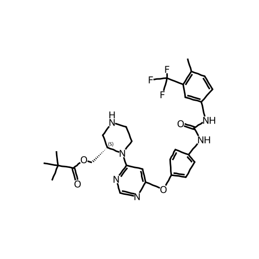 Cc1ccc(NC(=O)Nc2ccc(Oc3cc(N4CCNC[C@H]4COC(=O)C(C)(C)C)ncn3)cc2)cc1C(F)(F)F